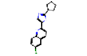 Brc1ccc2nc(-c3cnc(C4CCCC4)[nH]3)ccc2c1